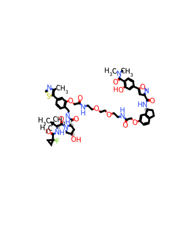 Cc1ncsc1-c1ccc(CNC(=O)[C@@H]2C[C@@H](O)CN2C(=O)[C@@H](NC(=O)C2(F)CC2)C(C)(C)C)c(OCC(=O)NCCOCCOCCNC(=O)COc2ccc3c(c2)[C@H](NC(=O)c2cc(-c4ccc(C(=O)N(C)C)c(O)c4)on2)CC3)c1